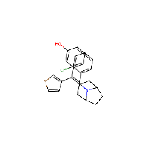 Oc1cccc(C(=C2CC3CCC(C2)N3Cc2ccccc2Cl)c2ccsc2)c1